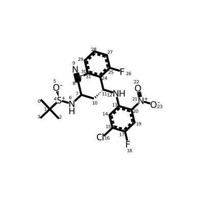 CC(C)(C)[S@@+]([O-])NC(C#N)C[C@@H](Nc1cc(Cl)c(F)cc1[N+](=O)[O-])c1c(F)cccc1Br